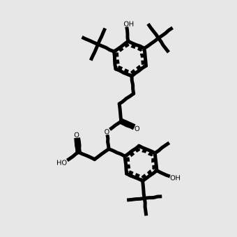 Cc1cc(C(CC(=O)O)OC(=O)CCc2cc(C(C)(C)C)c(O)c(C(C)(C)C)c2)cc(C(C)(C)C)c1O